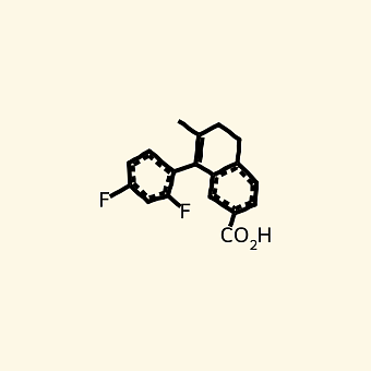 CC1=C(c2ccc(F)cc2F)c2cc(C(=O)O)ccc2CC1